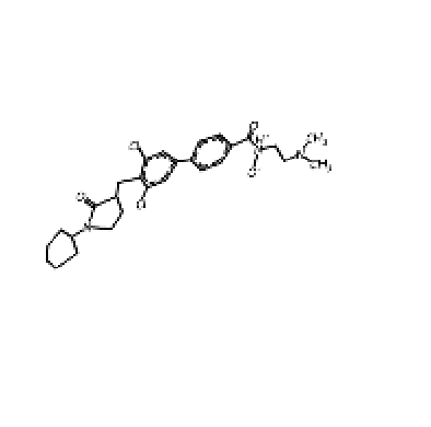 CN(C)CC[NH+]([O-])C(=O)c1ccc(-c2cc(Cl)c(CC3CCN(C4CCCCC4)C3=O)c(Cl)c2)cc1